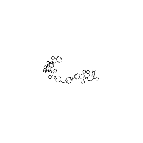 O=C1CC[C@H](N2C(=O)c3ccc(N4CCN(CC5CCN(C(=O)C(=O)N[C@@H](Cc6coc7ccccc67)B(O)O)CC5)CC4)cc3C2=O)C(=O)N1